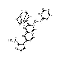 O=C(O)c1sccc1-c1ccc2cc(OCc3ccccc3)c(C34CC5CC(CC(C5)C3)C4)cc2c1